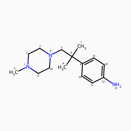 CN1CCN(CC(C)(C)c2ccc(N)cc2)CC1